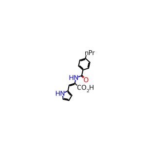 CCCc1ccc(C(=O)N/C(=C/c2ccc[nH]2)C(=O)O)cc1